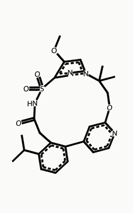 COc1cn2nc1S(=O)(=O)NC(=O)Cc1c(cccc1C(C)C)-c1ccnc(c1)OCC2(C)C